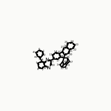 c1ccc(-c2cccc3ncc(-c4ccc5c(c4)C4(c6cc7ccccc7cc6-5)C5CC6CC(C5)CC4C6)nc23)cc1